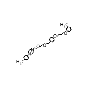 Cc1ccc(N2CCN(CCOCCOCCc3ccc(OCCCCOc4cccc(C)c4)cc3)CC2)cc1